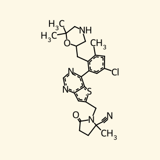 Cc1cc(Cl)cc(-c2ncnc3cc(CN4C(=O)CCC4(C)C#N)sc23)c1CC1CNCC(C)(C)O1